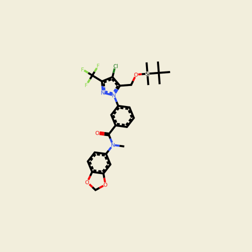 CN(C(=O)c1cccc(-n2nc(C(F)(F)F)c(Cl)c2CO[Si](C)(C)C(C)(C)C)c1)c1ccc2c(c1)OCO2